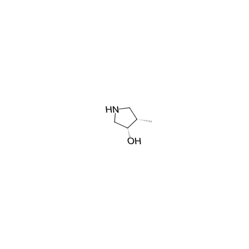 C[C@H]1CNC[C@H]1O